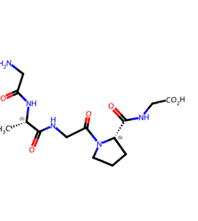 C[C@H](NC(=O)CN)C(=O)NCC(=O)N1CCC[C@H]1C(=O)NCC(=O)O